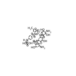 Cc1cc(NS(=O)(=O)c2ccc(N)cc2)no1.NC[C@H]1O[C@H](O[C@H]2[C@H](O)[C@@H](O[C@H]3O[C@H](CO)[C@@H](O)[C@H](N)[C@H]3O)[C@H](N)C[C@@H]2N)[C@H](N)C[C@@H]1O.O=S(=O)(O)O